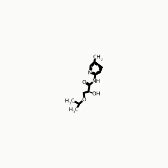 Cc1ccc(NC(=O)[C@@H](O)COC(C)C)nc1